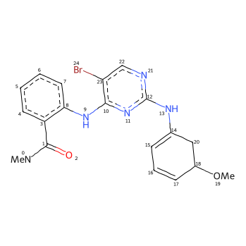 CNC(=O)c1ccccc1Nc1nc(NC2=CC=CC(OC)C2)ncc1Br